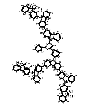 CC1(C)c2ccccc2-c2ccc(-n3c4ccccc4c4cc(-c5ccc6c(c5)c5cc(-c7ccc8c(c7)c7ccccc7n8-c7ccc8c(c7)C(C)(C)c7ccccc7-8)ccc5n6-c5cccc(-c6cc(-n7c8ccccc8c8cc(-c9ccc%10c(c9)c9ccccc9n%10-c9ccc%10c(c9)C(C)(C)c9ccccc9-%10)ccc87)nc(-c7ccccc7)n6)c5)ccc43)cc21